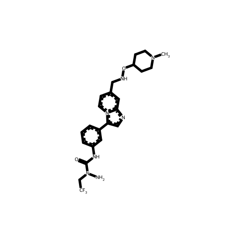 CN1CCC(ONCc2ccn3c(-c4cccc(NC(=O)N(N)CC(F)(F)F)c4)cnc3c2)CC1